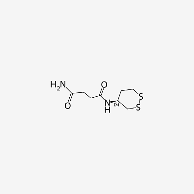 NC(=O)CCC(=O)N[C@H]1CCSSC1